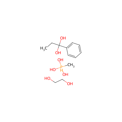 CCC(O)(O)c1ccccc1.C[PH](O)(O)O.OCCO